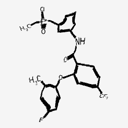 Cc1cc(F)ccc1Oc1cc(C(F)(F)F)ccc1C(=O)Nc1cccc(P(C)(=O)Cl)c1